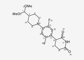 COC(OC)C1CCN(c2cc(F)c(C3CCC(=O)NC3=O)cc2F)CC1